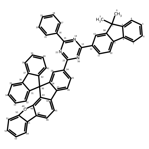 CC1(C)c2ccccc2-c2ccc(-c3nc(-c4ccccc4)nc(-c4ccc5c(c4)C4(c6ccccc6-c6ccccc64)c4c-5ccc5c4oc4ccccc45)n3)cc21